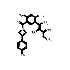 CC(=O)OCC(=N)/C(C)=C(\N)c1cc(C(=O)N2CC(c3ccc(C#N)cc3)C2)c(C)cc1C